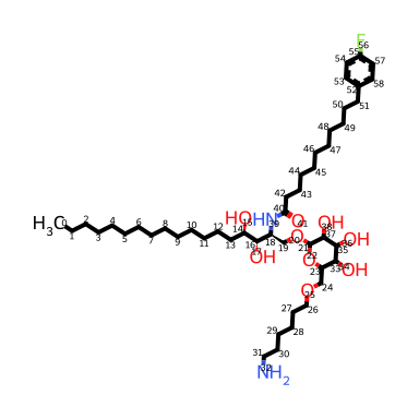 CCCCCCCCCCCCCC[C@@H](O)[C@@H](O)[C@H](COC1OC(COCCCCCCN)C(O)C(O)C1O)NC(=O)CCCCCCCCCCc1ccc(F)cc1